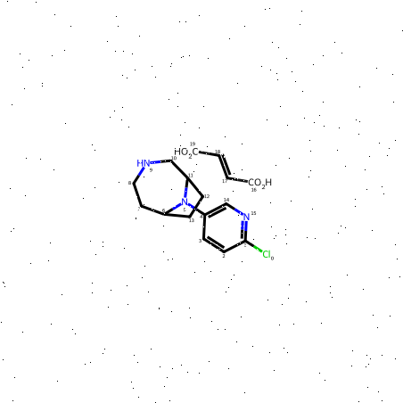 Clc1ccc(N2C3CCNCC2CC3)cn1.O=C(O)C=CC(=O)O